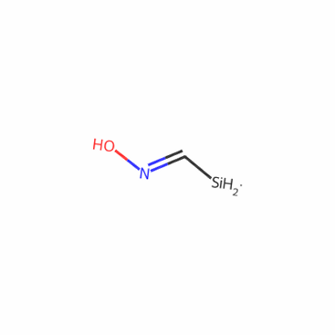 ON=C[SiH2]